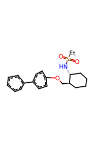 CCS(=O)(=O)N[C@@H]1CCCC[C@H]1COc1ccc(-c2ccccc2)cc1